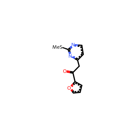 CSc1nccc(CC(=O)c2ccco2)n1